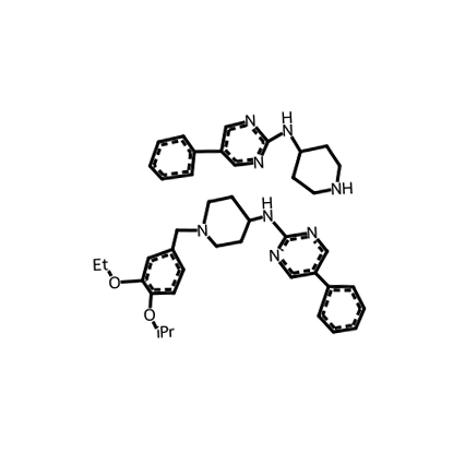 CCOc1cc(CN2CCC(Nc3ncc(-c4ccccc4)cn3)CC2)ccc1OC(C)C.c1ccc(-c2cnc(NC3CCNCC3)nc2)cc1